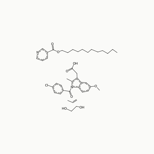 C=CC.CCCCCCCCCCCCOC(=O)c1cccnc1.COc1ccc2c(c1)c(CC(=O)O)c(C)n2C(=O)c1ccc(Cl)cc1.OCCO